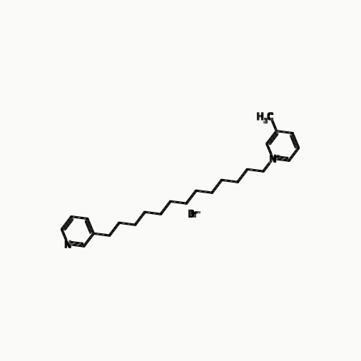 Cc1ccc[n+](CCCCCCCCCCCCCc2cccnc2)c1.[Br-]